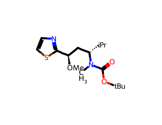 CO[C@H](C[C@H](C(C)C)N(C)C(=O)OC(C)(C)C)c1nccs1